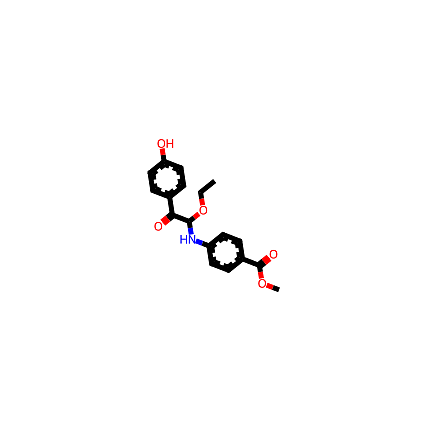 CCOC(Nc1ccc(C(=O)OC)cc1)C(=O)c1ccc(O)cc1